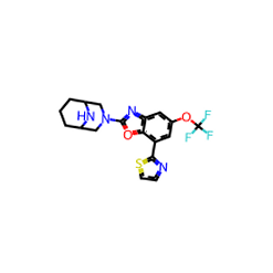 FC(F)(F)Oc1cc(-c2nccs2)c2oc(N3CC4CCCC(C3)N4)nc2c1